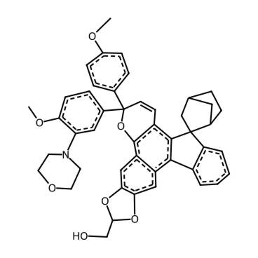 COc1ccc(C2(c3ccc(OC)c(N4CCOCC4)c3)C=Cc3c4c(c5cc6c(cc5c3O2)OC(CO)O6)-c2ccccc2C42CC3CCC2C3)cc1